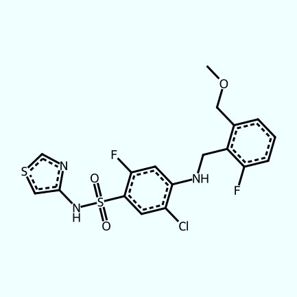 COCc1cccc(F)c1CNc1cc(F)c(S(=O)(=O)Nc2cscn2)cc1Cl